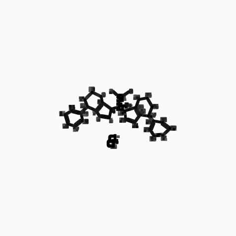 C[Si](C)=[Zr+2]([CH]1C=CC2=C1CCCC2c1ccccc1)[CH]1C=CC2=C1CCCC2c1ccccc1.[Cl-].[Cl-]